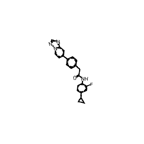 O=C(Cc1ccc(-c2ccn3ncnc3c2)cc1)Nc1ccc(C2CC2)cc1F